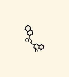 O=C(C=Cc1cnc2ccccc2c1)c1ccc2ccccc2c1